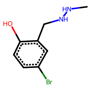 CNNCc1cc(Br)ccc1O